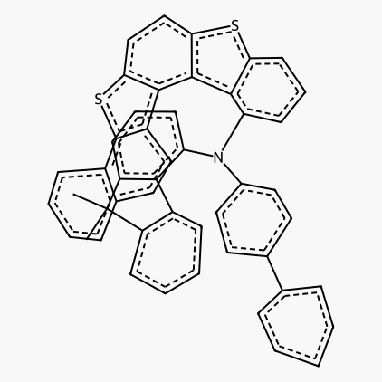 CC1(C)c2ccccc2-c2c(N(c3ccc(-c4ccccc4)cc3)c3cccc4sc5ccc6sc7c8ccccc8ccc7c6c5c34)cccc21